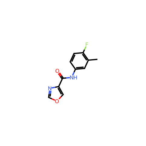 Cc1cc(NC(=O)c2cocn2)ccc1F